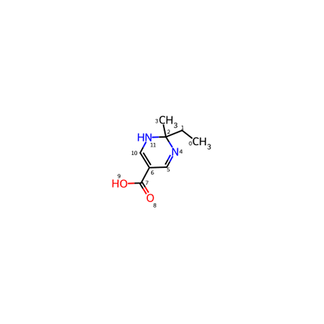 CCC1(C)N=CC(C(=O)O)=CN1